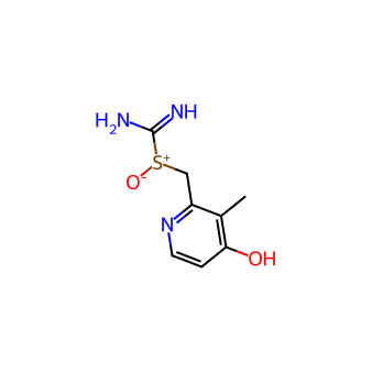 Cc1c(O)ccnc1C[S+]([O-])C(=N)N